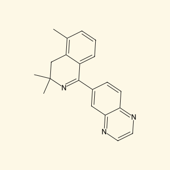 Cc1cccc2c1CC(C)(C)N=C2c1ccc2nccnc2c1